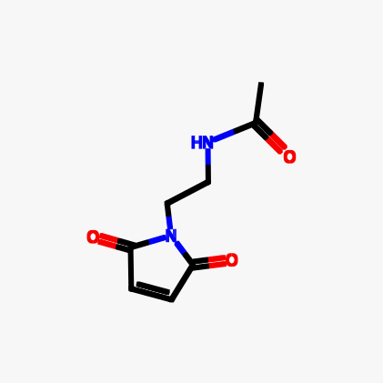 CC(=O)NCCN1C(=O)C=CC1=O